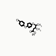 CC(C)OC(=O)CC(C)C(C)Oc1ccc(Oc2ccc(Cl)cc2)cc1